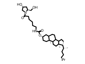 CC(C)CCC[C@@H](C)[C@H]1CCC2C3CCC4C[C@@H](OC(=O)NCCCCCC(=O)N5C[C@H](O)C[C@H]5CO)CC[C@]4(C)C3CC[C@@]21C